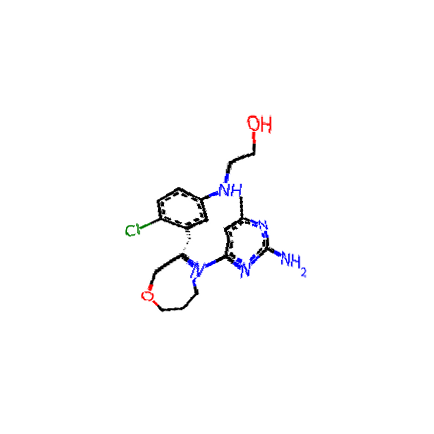 Cc1cc(N2CCCOC[C@@H]2c2cc(NCCO)ccc2Cl)nc(N)n1